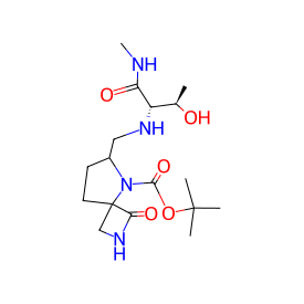 CNC(=O)[C@@H](NCC1CCC2(CNC2=O)N1C(=O)OC(C)(C)C)[C@@H](C)O